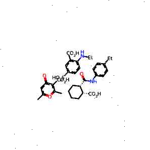 CCNc1ccc(S(=O)(=O)O)cc1C(=O)O.CCc1ccc(NC(=O)[C@H]2CCCC[C@H]2C(=O)O)cc1.Cc1cc(=O)c(C(=O)O)c(C)o1